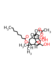 CCCCCCCC(=O)O[C@@]12CC(C)C34C=C(C)[C@H](OC(C)=O)[C@@]3(O)[C@H](O)C(CO)=C[C@H](C4=O)[C@@H]1C2(C)C